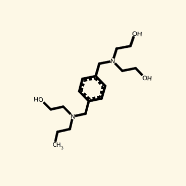 CCCN(CCO)Cc1ccc(CN(CCO)CCO)cc1